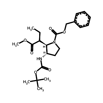 CCC(C(=O)OC)[C@@H]1[C@@H](NC(=O)OC(C)(C)C)CCN1C(=O)OCc1ccccc1